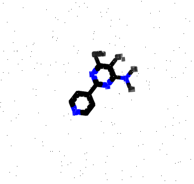 CCN(CC)c1nc(-c2ccncc2)nc(OC)c1C(F)(F)F